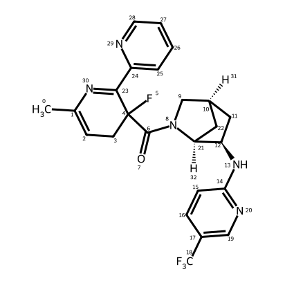 CC1=CCC(F)(C(=O)N2C[C@H]3C[C@@H](Nc4ccc(C(F)(F)F)cn4)[C@@H]2C3)C(c2ccccn2)=N1